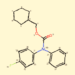 O=C(OCC1CCCCC1)N(c1ccccc1)c1ccc(F)cc1